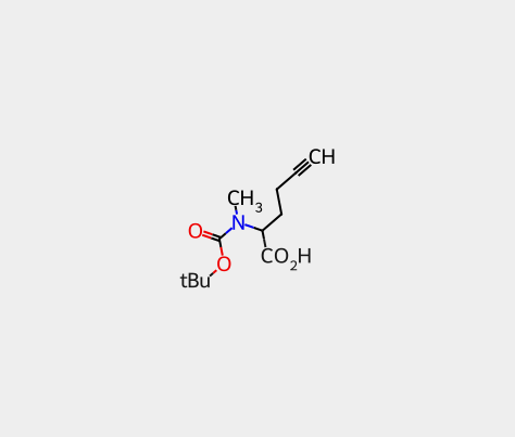 C#CCCC(C(=O)O)N(C)C(=O)OC(C)(C)C